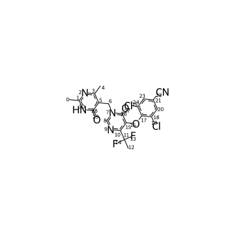 Cc1nc(C)c(Cn2cnc(C(C)(F)F)c(Oc3c(Cl)cc(C#N)cc3Cl)c2=O)c(=O)[nH]1